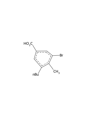 CCCCc1cc(C(=O)O)cc(Br)c1C